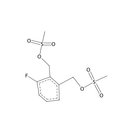 CS(=O)(=O)OCc1cccc(F)c1COS(C)(=O)=O